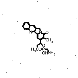 CCC(OP(=O)(O)CN)c1cc2n(c(=O)c1C)Cc1cc3ccccc3nc1-2